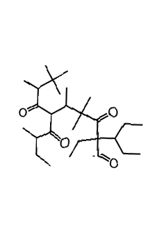 CCC(C)C(=O)C(C(=O)C(C)C(C)(C)C)C(C)C(C)(C)C(=O)C([C]=O)(CC)C(CC)CC